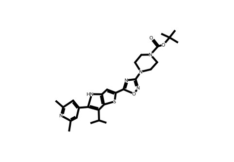 Cc1cc(-c2[nH]c3cc(-c4nc(N5CCN(C(=O)OC(C)(C)C)CC5)no4)sc3c2C(C)C)cc(C)n1